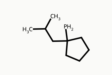 CC(C)CC1(P)CCCC1